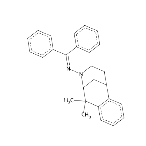 CC1(C)c2ccccc2C2CCN(N=C(c3ccccc3)c3ccccc3)C1C2